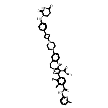 Cc1cccc(NC(=O)c2ccc(-c3nn4c(c3C(N)=O)Nc3ccc(N5CCN(C6CC(c7ccc(N[C@H]8CCC(=O)NC8=O)cc7)C6)CC5)cc3CC4)c(F)c2C)n1